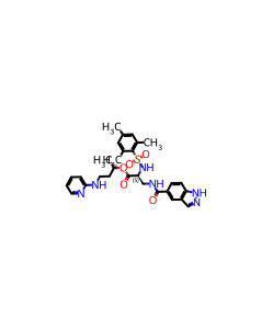 Cc1cc(C)c(S(=O)(=O)N[C@@H](CNC(=O)c2ccc3[nH]ncc3c2)C(=O)O[C@H](C)CCNc2ccccn2)c(C)c1